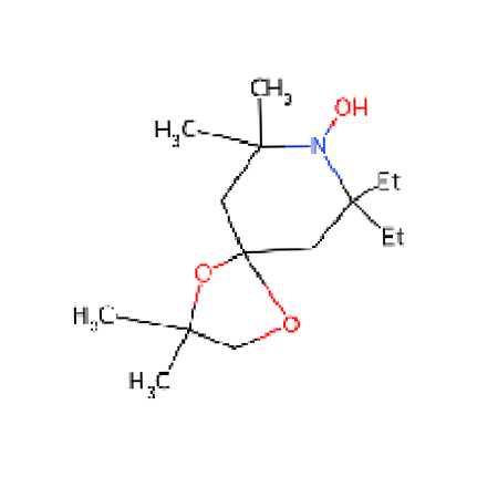 CCC1(CC)CC2(CC(C)(C)N1O)OCC(C)(C)O2